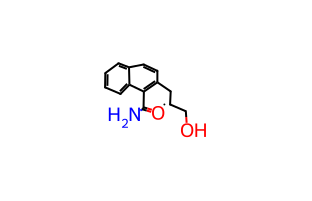 NC(=O)c1c(C[CH]CO)ccc2ccccc12